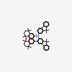 Cc1cc2c(cc1N(c1ccc3c(c1)C(C)(C)c1ccccc1-3)c1cc3c(cc1-c1ccc4c(c1)C(C)(C)CCC4(C)C)-c1ccccc1C3(C)C)C(C)(C)CCC2(C)C